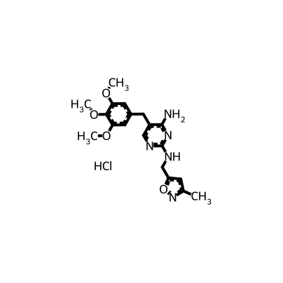 COc1cc(Cc2cnc(NCc3cc(C)no3)nc2N)cc(OC)c1OC.Cl